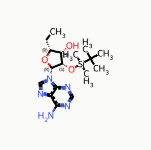 CC[C@H]1O[C@@H](n2cnc3c(N)ncnc32)[C@@H](O[Si](C)(C)C(C)(C)C)[C@H]1O